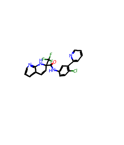 O=C(Nc1ccc(Cl)c(-c2ccccn2)c1)C1(C(F)(F)F)C=Cc2cccnc2N1